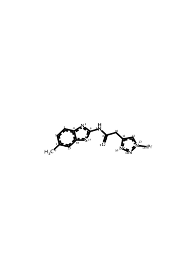 Cc1ccc2nc(NC(=O)Cc3cn(C(C)C)nn3)sc2c1